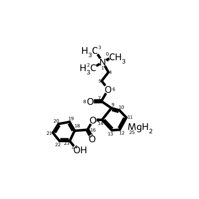 C[N+](C)(C)CCOC(=O)c1ccccc1OC(=O)c1ccccc1O.[MgH2]